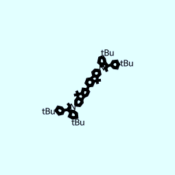 Cc1c(-c2ccc(C(C)(C)C)cc2)c2cc(C(C)(C)C)ccc2n1-c1ccc2c(c1)C(C)(C)c1cc(-c3ccc4c(c3)C(C)(C)c3cc(-n5c(C)c(-c6ccc(C(C)(C)C)cc6)c6cc(C(C)(C)C)ccc65)ccc3-4)ccc1-2